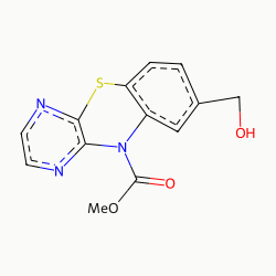 COC(=O)N1c2cc(CO)ccc2Sc2nccnc21